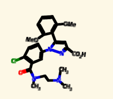 COc1cccc(OC)c1-c1cc(C(=O)O)nn1-c1ccc(Cl)c(C(=O)N(C)CCN(C)C)c1